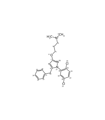 CN(C)CCCOc1cc(Cc2ccccc2)n(-c2cc(Cl)ccc2Cl)n1